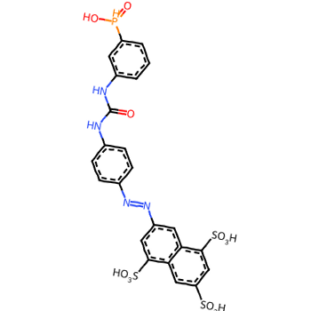 O=C(Nc1ccc(/N=N/c2cc(S(=O)(=O)O)c3cc(S(=O)(=O)O)cc(S(=O)(=O)O)c3c2)cc1)Nc1cccc([PH](=O)O)c1